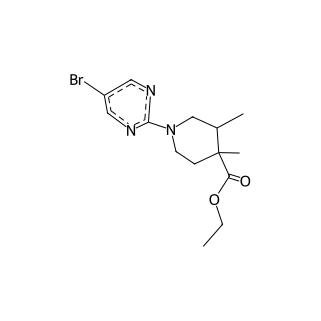 CCOC(=O)C1(C)CCN(c2ncc(Br)cn2)CC1C